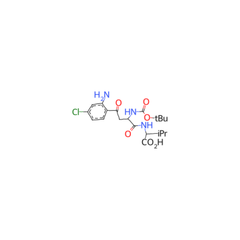 CC(C)C(NC(=O)C(CC(=O)c1ccc(Cl)cc1N)NC(=O)OC(C)(C)C)C(=O)O